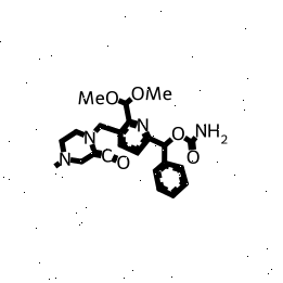 COC(OC)c1nc(C(OC(N)=O)c2ccccc2)ccc1CN1CCN(C)CC1=C=O